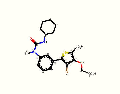 CCN(C(=O)NC1CCCCC1)c1cccc(-c2sc(C(=O)O)c(OCC(=O)O)c2Br)c1